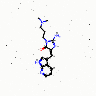 CN(C)CCCN1C(=O)C(=Cc2c[nH]c3ncccc23)N=C1N